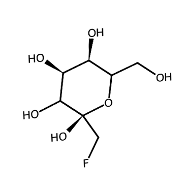 OCC1O[C@](O)(CF)C(O)[C@@H](O)[C@H]1O